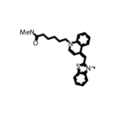 CNC(=O)CCCCCN1C=CC(=Cc2sc3ccccc3[n+]2C)c2ccccc21